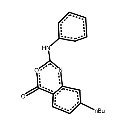 CCCCc1ccc2c(=O)oc(Nc3ccccc3)nc2c1